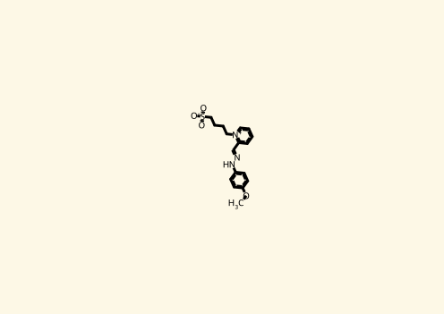 COc1ccc(N/N=C/c2cccc[n+]2CCCCS(=O)(=O)[O-])cc1